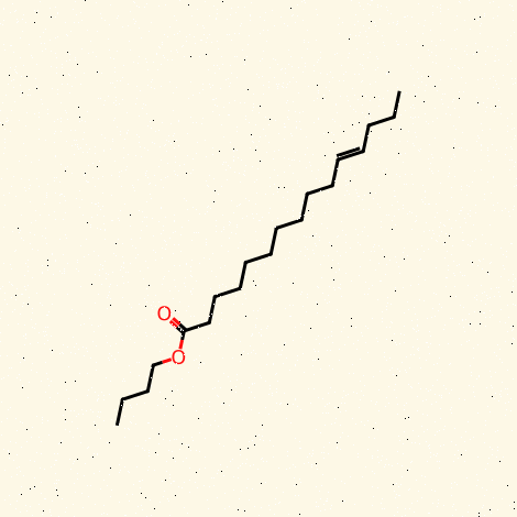 CCCC=CCCCCCCCCCC(=O)OCCCC